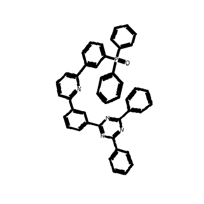 O=P(c1ccccc1)(c1ccccc1)c1cccc(-c2cccc(-c3cccc(-c4nc(-c5ccccc5)nc(-c5ccccc5)n4)c3)n2)c1